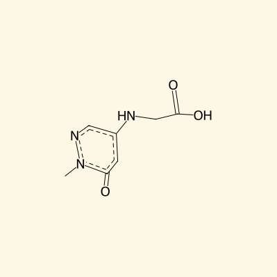 Cn1ncc(NCC(=O)O)cc1=O